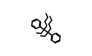 CCCCC(CC)(c1ccccc1)C(CC)(CCCC)c1ccccc1